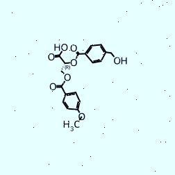 COc1ccc(C(=O)OC[C@@H](OC(=O)c2ccc(CO)cc2)C(=O)O)cc1